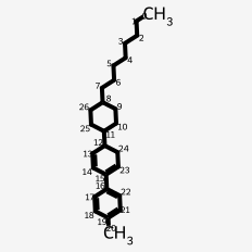 CCCCCCCCC1CCC(C2C=CC(c3ccc(C)cc3)=CC2)CC1